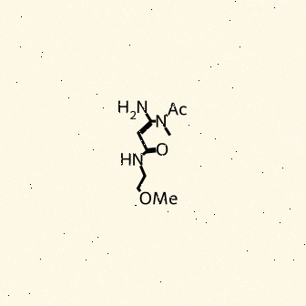 COCCNC(=O)/C=C(/N)N(C)C(C)=O